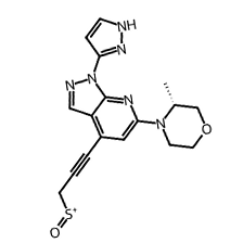 C[C@@H]1COCCN1c1cc(C#CC[S+]=O)c2cnn(-c3cc[nH]n3)c2n1